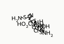 NCCSCc1ccncc1SC1=C(C(=O)O)N2C(=O)[C@@H](NC(=O)C(NO)c3nc(N)sc3Cl)[C@@H]2SC1